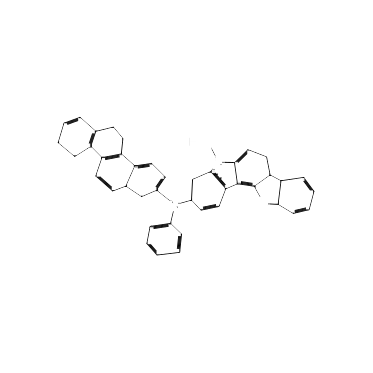 C[SiH]1C2=CCC3C(=C2C2=C1CC(N(C1=CC=C4C5=C(C=CC4C1)C1=C(C=CCC1)CC5)c1ccccc1)C=C2)OC1C=CC=CC13